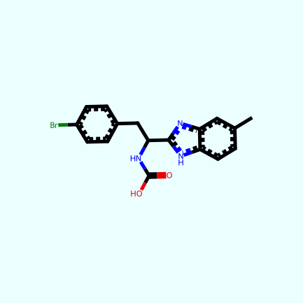 Cc1ccc2[nH]c(C(Cc3ccc(Br)cc3)NC(=O)O)nc2c1